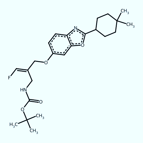 CC1(C)CCC(c2nc3ccc(OC/C(=C/F)CNC(=O)OC(C)(C)C)cc3o2)CC1